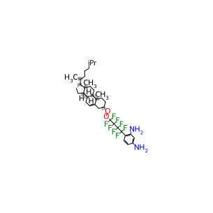 CC(C)CCC[C@@H](C)[C@H]1CC[C@H]2[C@@H]3CC=C4C[C@@H](OOC(F)(F)C(F)(F)C(F)(F)C(F)(F)c5ccc(N)cc5N)CC[C@]4(C)[C@H]3CC[C@]12C